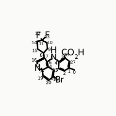 Cc1ccc(Nc2c(C3CCC(F)(F)CC3)cnc3ccc(Br)cc23)c(C(=O)O)c1